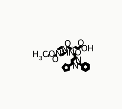 CCOC(=O)N1CCN(C(=O)[C@H](CCC(=O)O)NC(=O)c2cc(C3CCCC3)nc(-c3ccccc3)n2)CC1